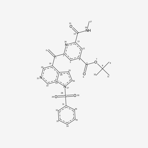 C=C(c1cc(C(=O)OC(C)(C)C)cc(C(=O)NC)n1)c1cncc2c1ccn2S(=O)(=O)c1ccccc1